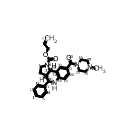 C=CCOC(=O)N1CC[C@H]2C(c3ccccc3)Nc3ccc(C(=O)N4CCN(C)CC4)cc3[C@H]21